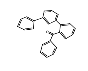 O=C(c1ccccc1)c1ccccc1-c1cccc(-c2ccccc2)c1